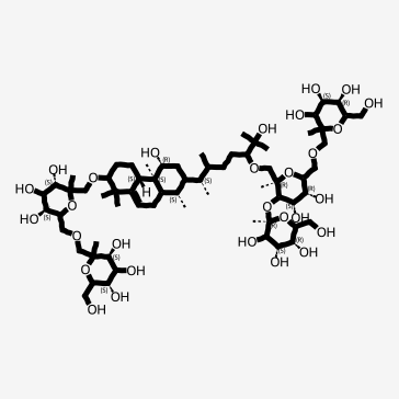 CC(CCC(OC[C@@]1(C)OC(COCC2(C)OC(CO)[C@H](O)[C@H](O)C2O)[C@H](O)[C@H](O)C1O[C@@]1(C)OC(CO)[C@H](O)[C@H](O)C1O)C(C)(C)O)[C@H](C)C1C[C@@H](O)[C@@]2(C)C(CC=C3[C@@H]2CCC(OCC2(C)OC(COCC4(C)OC(CO)[C@@H](O)C(O)[C@@H]4O)[C@@H](O)C(O)[C@@H]2O)C3(C)C)[C@H]1C